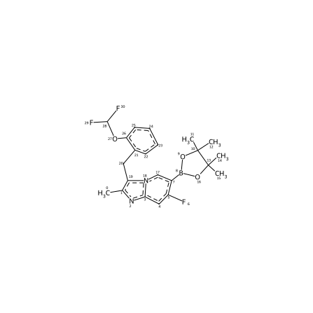 Cc1nc2cc(F)c(B3OC(C)(C)C(C)(C)O3)cn2c1Cc1ccccc1OC(F)F